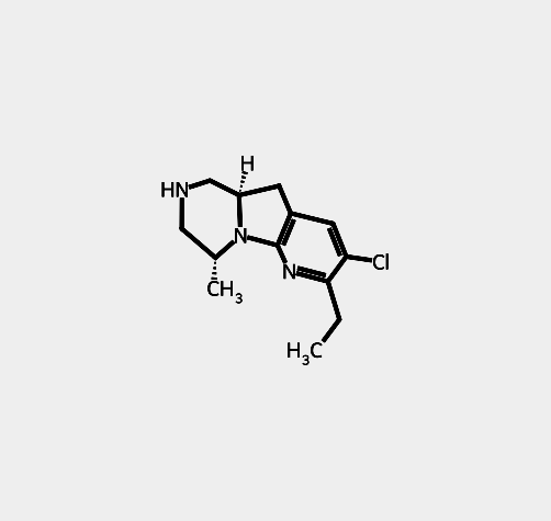 CCc1nc2c(cc1Cl)C[C@@H]1CNC[C@@H](C)N21